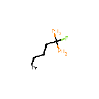 CC(C)CCCC(F)(P)P